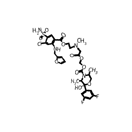 CC1CO[C@@](O)(c2cc(F)cc(F)c2)C(C)N1C(=O)OCOC(=O)CN(C)CCOC(=O)c1cc(S(N)(=O)=O)c(Cl)cc1NCc1ccco1